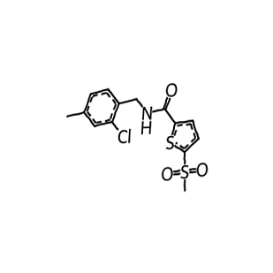 Cc1ccc(CNC(=O)c2ccc(S(C)(=O)=O)s2)c(Cl)c1